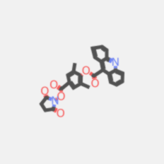 Cc1cc(C(=O)ON2C(=O)CCC2=O)cc(C)c1OC(=O)c1c2ccccc2nc2ccccc12